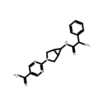 CC(C(=O)NC1C2CN(c3ncc(C(N)=O)cn3)CC21)c1ccccc1